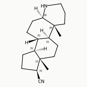 C[C@]12CCCN[C@@H]1CC[C@@H]1[C@@H]2CC[C@]2(C)[C@@H](C#N)CC[C@@H]12